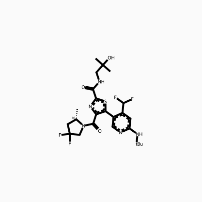 C[C@H]1CC(F)(F)CN1C(=O)c1nc(C(=O)NCC(C)(C)O)sc1-c1cnc(NC(C)(C)C)cc1C(F)F